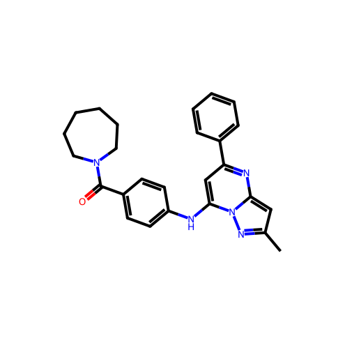 Cc1cc2nc(-c3ccccc3)cc(Nc3ccc(C(=O)N4CCCCCC4)cc3)n2n1